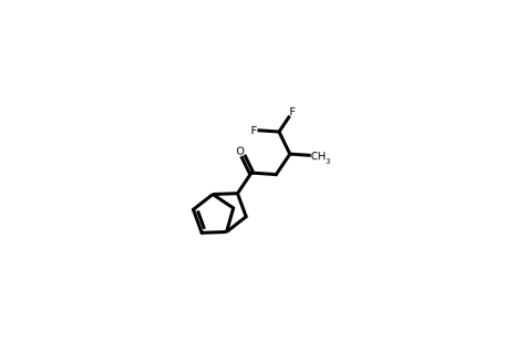 CC(CC(=O)C1CC2C=CC1C2)C(F)F